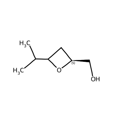 CC(C)C1C[C@@H](CO)O1